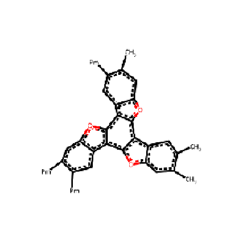 Cc1cc2oc3c(c2cc1C)c1oc2cc(C)[c]([Pm])cc2c1c1oc2c[c]([Pm])[c]([Pm])cc2c31